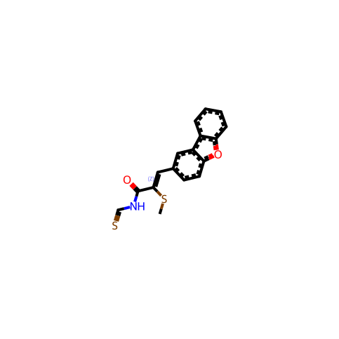 CS/C(=C\c1ccc2oc3ccccc3c2c1)C(=O)NC=S